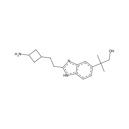 CC(C)(CO)c1ccc2[nH]c(CCC3CC(N)C3)nc2c1